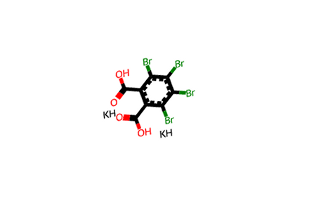 O=C(O)c1c(Br)c(Br)c(Br)c(Br)c1C(=O)O.[KH].[KH]